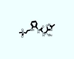 Cc1noc([C@@H](NC(=O)Nc2ccccc2NCCS(C)(=O)=O)C(C)(C)C)n1